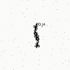 C=C(C)C(=O)OCCSc1ccc(S(=O)(=O)c2ccc(SCCOC(=O)CCC(=O)O)cc2)cc1